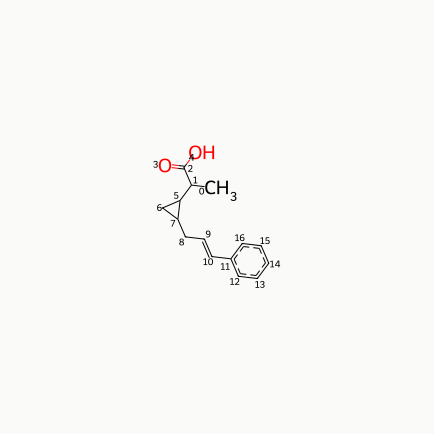 CC(C(=O)O)C1CC1CC=Cc1ccccc1